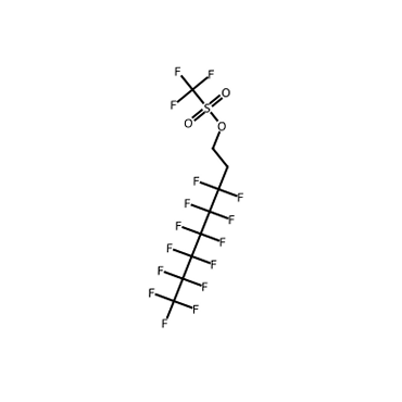 O=S(=O)(OCCC(F)(F)C(F)(F)C(F)(F)C(F)(F)C(F)(F)C(F)(F)F)C(F)(F)F